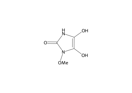 COn1c(O)c(O)[nH]c1=O